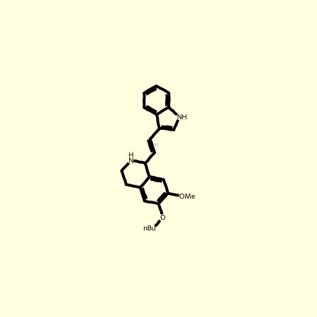 CCCCOc1cc2c(cc1OC)C(/C=C/c1c[nH]c3ccccc13)NCC2